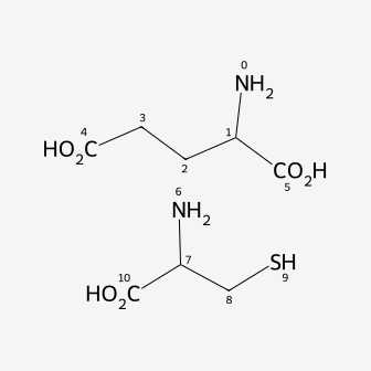 NC(CCC(=O)O)C(=O)O.NC(CS)C(=O)O